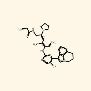 C=CC(=O)NC/C(=C\C(C)=C(/C=C)Nc1ncc(C#N)c(-c2cn3c4c(cccc24)CCC3)n1)N1CCCC1